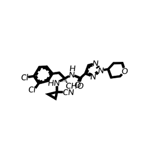 N#CC1(N[C@@](C=O)(Cc2ccc(Cl)c(Cl)c2)NC(=O)c2cnn(C3CCOCC3)n2)CC1